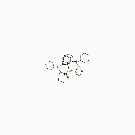 CN(C)[C@@H](C1=CC=C[C@H]1P(C1CCCCC1)C1CCCCC1)c1ccccc1P(C1CCCCC1)C1CCCCC1